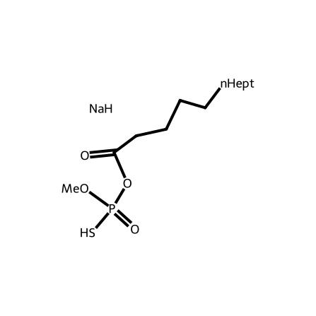 CCCCCCCCCCCC(=O)OP(=O)(S)OC.[NaH]